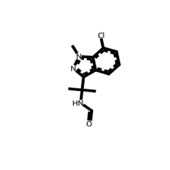 Cn1nc(C(C)(C)NC=O)c2cccc(Cl)c21